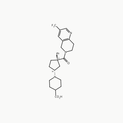 CC(C)[C@]1(C(=O)N2CCc3ncc(C(F)(F)F)cc3C2)CC[C@@H](N2CCC(C(=O)O)CC2)C1